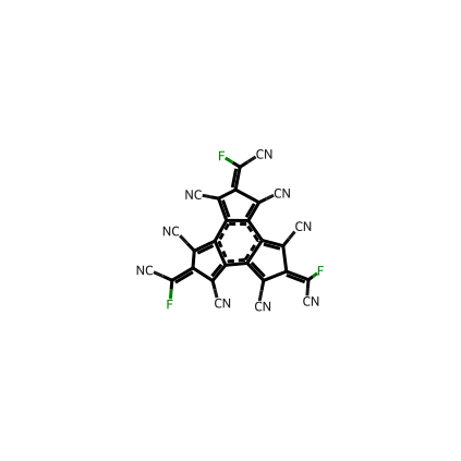 N#CC(F)=C1C(C#N)=c2c3c(c4c(c2=C1C#N)=C(C#N)C(=C(F)C#N)C=4C#N)=C(C#N)C(=C(F)C#N)C=3C#N